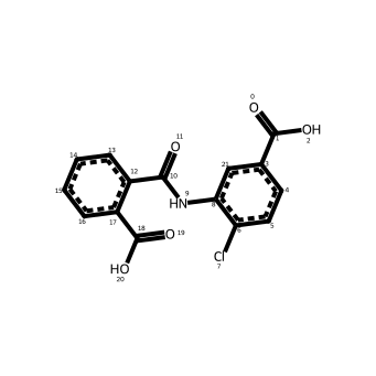 O=C(O)c1ccc(Cl)c(NC(=O)c2ccccc2C(=O)O)c1